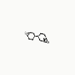 CCC12CC(C3CCC4OC4C3)CCC1O2